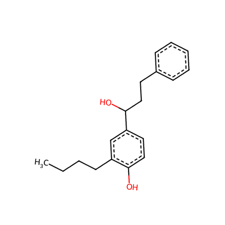 CCCCc1cc(C(O)CCc2ccccc2)ccc1O